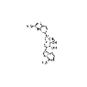 CC1(O)C(COc2ccc3ccc(N)nc3c2)OC(n2ccc3c(N)ncnc32)C1O